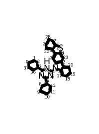 C1=CCC(C2N=C(c3ccccc3)N=C(n3c4ccccc4c4cc5sc6ccccc6c5cc43)N2)C=C1